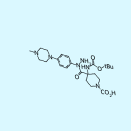 CN1CCN(c2ccc(N(N)C(=O)C3(NC(=O)OC(C)(C)C)CCN(C(=O)O)CC3)cc2)CC1